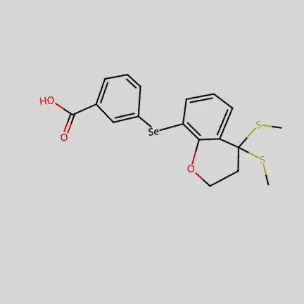 CSC1(SC)CCOc2c([Se]c3cccc(C(=O)O)c3)cccc21